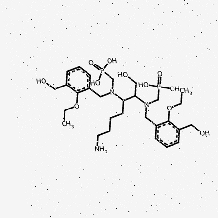 CCOc1c(CO)cccc1CN(CP(=O)(O)O)C(CO)C(CCCCN)N(Cc1cccc(CO)c1OCC)CP(=O)(O)O